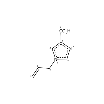 C=CCn1cnc(C(=O)O)c1